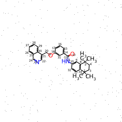 CC1(C)CCC(C)(C)c2cc(NC(=O)c3cccc(OCc4cncc5ccccc45)c3)ccc21